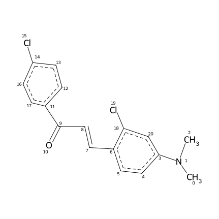 CN(C)c1ccc(C=CC(=O)c2ccc(Cl)cc2)c(Cl)c1